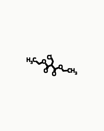 CCOC(=O)C(CCl)C(=O)OCC